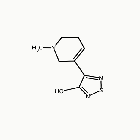 CN1CCC=C(c2nsnc2O)C1